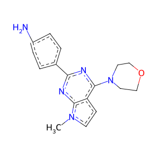 Cn1ccc2c(N3CCOCC3)nc(-c3ccc(N)cc3)nc21